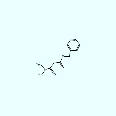 CN(C)C(=O)CC(=O)OCc1ccccc1